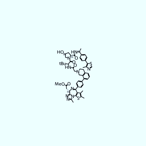 COC(=O)C[C@@H]1N=C(c2ccc(-c3cccc4c3CN(CC(=O)NC(C(=O)N3C[C@H](O)C[C@H]3C(=O)N[C@@H](C)c3ccc(-c5scnc5C)cc3)C(C)(C)C)CC4)cc2)c2c(sc(C)c2C)-n2c(C)nnc21